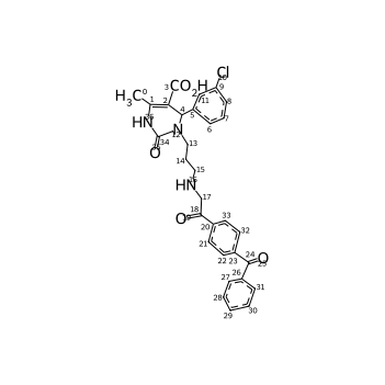 CC1=C(C(=O)O)C(c2cccc(Cl)c2)N(CCCNCC(=O)c2ccc(C(=O)c3ccccc3)cc2)C(=O)N1